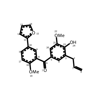 C=CCc1cc(C(=O)c2cc(-c3ccco3)ccc2OC)cc(OC)c1O